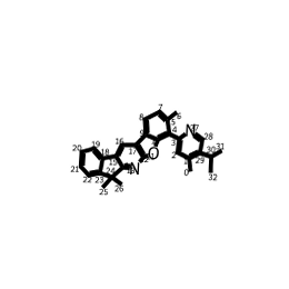 Cc1cc(-c2c(C)ccc3c2oc2nc4c(cc23)-c2ccccc2C4(C)C)ncc1C(C)C